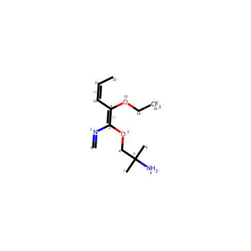 C=N/C(OCC(C)(C)N)=C(\C=C/C)OCC(F)(F)F